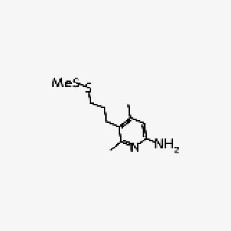 CSSCCCc1c(C)cc(N)nc1C